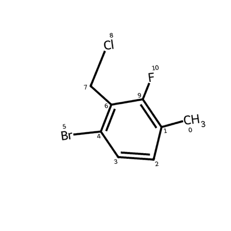 Cc1ccc(Br)c(CCl)c1F